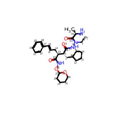 CC(C)CN(NC(=O)[C@H](CC1CCCC1)[C@H](CC=Cc1ccccc1)C(=O)NOC1CCCCO1)C(=O)[C@@H](C)N